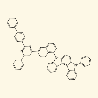 c1ccc(-c2ccc(-c3nc(-c4ccccc4)cc(-c4ccc5c(-n6c7ccccc7c7c8c9ccccc9n(-c9ccccc9)c8ccc76)cccc5c4)n3)cc2)cc1